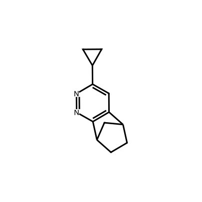 c1c(C2CC2)nnc2c1C1CCC2C1